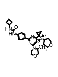 C[C@H]1COCCN1c1cc(C2(S(=O)(=O)C3CCOCC3)CC2)nc(-c2ccc(NC(=O)NC3CCC3)cc2)n1